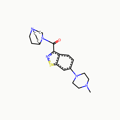 CN1CCN(c2ccc3c(C(=O)N4CCN5CCC4CC5)nsc3c2)CC1